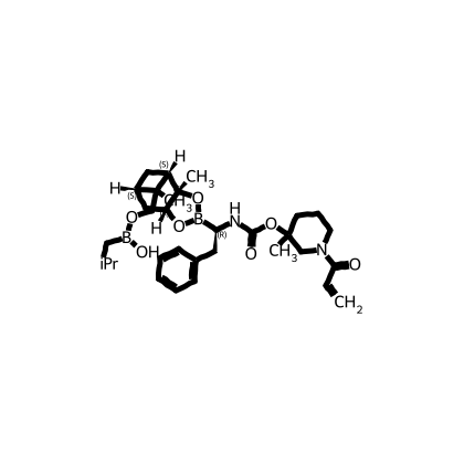 C=CC(=O)N1CCCC(C)(OC(=O)N[C@@H](Cc2ccccc2)B2O[C@@H]3C[C@@H]4C[C@@H](C4(C)COB(O)CC(C)C)[C@]3(C)O2)C1